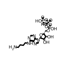 NCCCCNc1ncnc2c1ncn2[C@@H]1O[C@H](COP(=O)(O)OP(=O)(O)OP(=O)(O)O)[C@@H](O)[C@H]1O